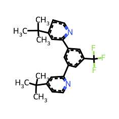 CC(C)(C)c1ccnc(-c2cc(-c3cc(C(C)(C)C)ccn3)cc(C(F)(F)F)c2)c1